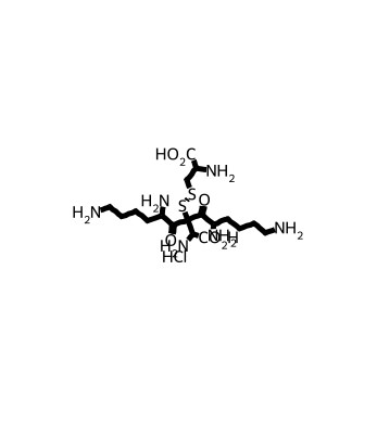 Cl.NCCCCC(N)C(=O)C(SSCC(N)C(=O)O)(C(=O)C(N)CCCCN)C(N)C(=O)O